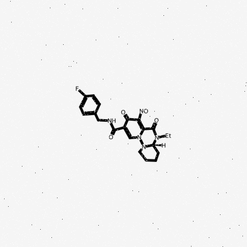 CCN1C(=O)c2c(N=O)c(=O)c(C(=O)NCc3ccc(F)cc3)cn2N2CCCC[C@@H]12